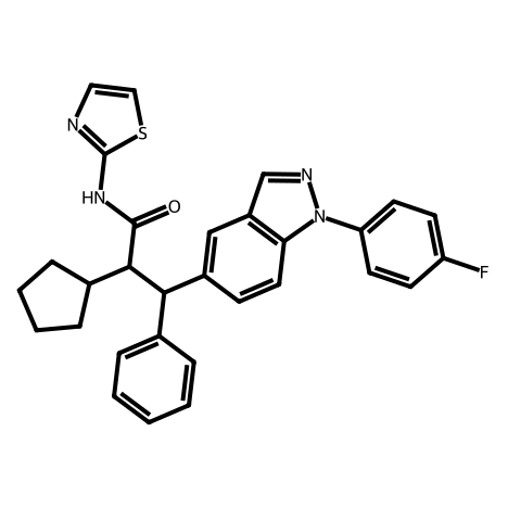 O=C(Nc1nccs1)C(C1CCCC1)C(c1ccccc1)c1ccc2c(cnn2-c2ccc(F)cc2)c1